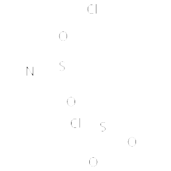 CN(C)S(=O)(=O)c1c(Cl)cccc1S(=O)(=O)Cl